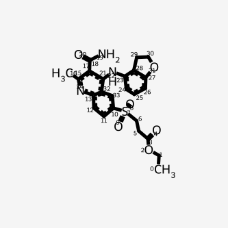 CCOC(=O)CCS(=O)(=O)c1ccc2nc(C)c(C(N)=O)c(Nc3cccc4c3CCO4)c2c1